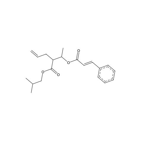 C=CCC(C(=O)OCC(C)C)C(C)OC(=O)/C=C/c1ccccc1